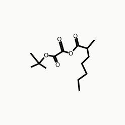 CCCCCC(C)C(=O)OC(=O)C(=O)OC(C)(C)C